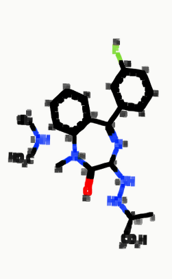 CC(C)(C)NC(=O)O.C[C@H](NNC1N=C(c2cccc(F)c2)c2ccccc2N(C)C1=O)C(=O)O